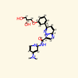 CN(C)c1ccnc(NC(=O)c2cnc3ccc(-c4cccc(OC[C@H](O)CO)c4)nn23)c1